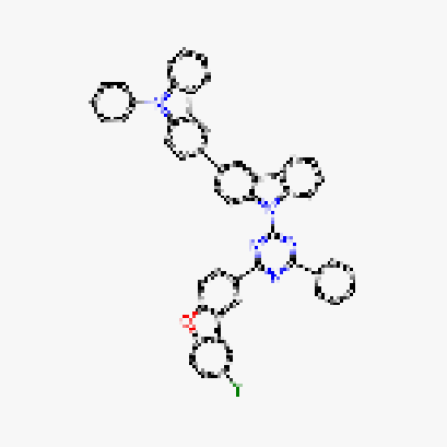 Fc1ccc2oc3ccc(-c4nc(-c5ccccc5)nc(-n5c6ccccc6c6cc(-c7ccc8c(c7)c7ccccc7n8-c7ccccc7)ccc65)n4)cc3c2c1